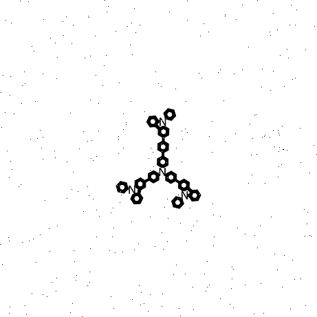 c1ccc(-n2c3ccccc3c3cc(-c4ccc(-c5ccc(N(c6ccc(-c7ccc8c(c7)c7ccccc7n8-c7ccccc7)cc6)c6ccc(-c7ccc8c9ccccc9n(-c9ccccc9)c8c7)cc6)cc5)cc4)ccc32)cc1